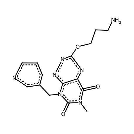 Cn1c(=O)c2nc(OCCCN)nnc2n(Cc2cccnc2)c1=O